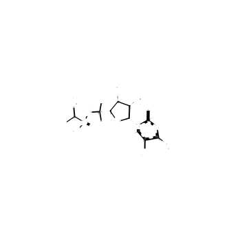 CCC(C)(OP(=O)(O)C(C)O)[C@H]1O[C@@H](n2cc(I)c(N)nc2=O)[C@H](O)[C@@H]1O